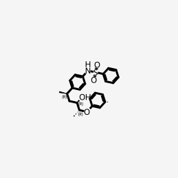 C[C@H](C[C@@H](O)[C@@H](C)Oc1c[c]ccc1)c1ccc(NS(=O)(=O)c2ccccc2)cc1